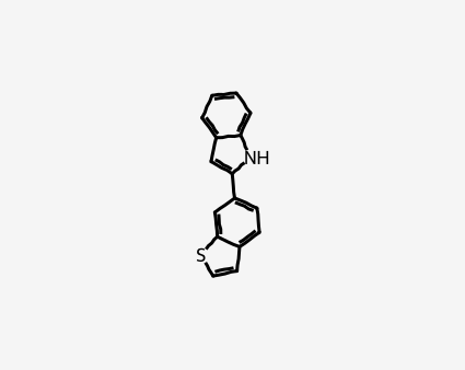 c1ccc2[nH]c(-c3ccc4ccsc4c3)cc2c1